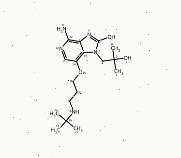 CC(C)(O)Cn1c(O)nc2c(N)ncc(OCCCNC(C)(C)C)c21